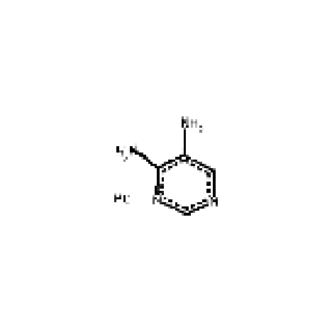 Cl.Nc1cncnc1N